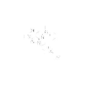 Cc1cccc(Nc2cc3nc[nH]c(=O)c3c(Nc3ccc(N4CCOCC4)cc3)n2)c1